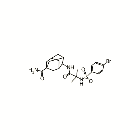 CC(C)(NS(=O)(=O)c1ccc(Br)cc1)C(=O)NC1C2CC3CC1CC(C(N)=O)(C3)C2